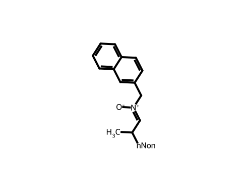 CCCCCCCCCC(C)C=[N+]([O-])Cc1ccc2ccccc2c1